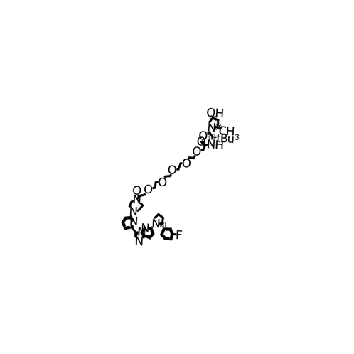 C[C@@H]1C[C@@H](O)CN1C(=O)[C@@H](NC(=O)COCCOCCOCCOCCOCC(=O)N1CCN(c2cccc(-c3cnc4ccc(N5CCC[C@@H]5c5cccc(F)c5)nn34)n2)CC1)C(C)(C)C